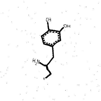 NC(CF)Cc1ccc(O)c(O)c1